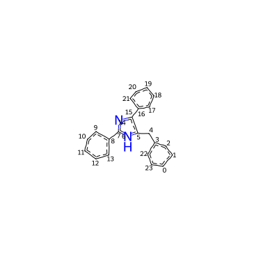 c1ccc(Cc2[nH]c(-c3ccccc3)nc2-c2ccccc2)cc1